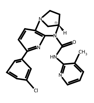 Cc1cccnc1NC(=O)N1c2nc(-c3cccc(Cl)c3)ccc2N2CC[C@H]1C2